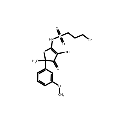 COc1cccc(C2(C)OC(NS(=O)(=O)CCCBr)=C(O)C2=O)c1